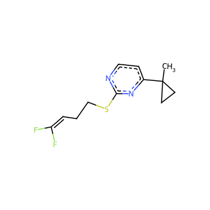 CC1(c2ccnc(SCCC=C(F)F)n2)CC1